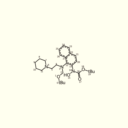 CC(C)(C)OCN(CCN1CCCCC1)c1c(N(O)C(=O)OC(C)(C)C)ccc2ccccc12